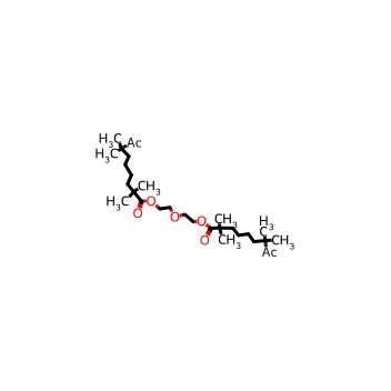 CC(=O)C(C)(C)CCCCC(C)(C)C(=O)OCCOCCOC(=O)C(C)(C)CCCCC(C)(C)C(C)=O